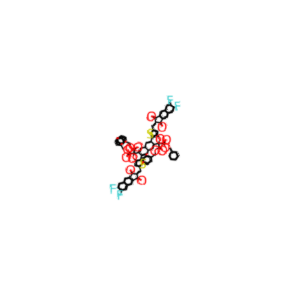 O=C1C(=Cc2cc3c(s2)C2=CC4C=C5C(=CC4C=C2C(C(=O)OCc2ccccc2)(C(=O)OCc2ccccc2)O3)c2sc(C=C3C(=O)c4cc6cc(F)c(F)cc6cc4C3=O)cc2OC5(C(=O)OCc2ccccc2)C(=O)OCc2ccccc2)C(=O)c2cc3cc(F)c(F)cc3cc21